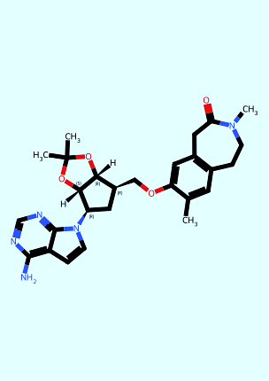 Cc1cc2c(cc1OC[C@H]1C[C@@H](n3ccc4c(N)ncnc43)[C@@H]3OC(C)(C)O[C@H]13)CC(=O)N(C)CC2